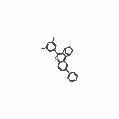 Cc1cc(C)cc(-c2nc3ccc(-c4ccccc4)cc3c3c2C2CCC3C2)c1